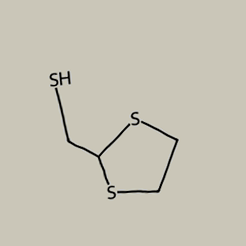 SCC1SCCS1